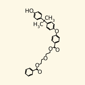 CC(C)(c1ccc(O)cc1)c1ccc(Oc2ccc(C(=O)OCCOCCOC(=O)c3ccccc3)cc2)cc1